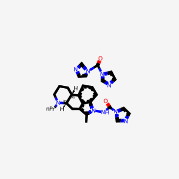 CCCN1CCC[C@@H]2c3cccc4c3c(c(C)n4NC(=O)n3ccnc3)C[C@H]21.O=C(n1ccnc1)n1ccnc1